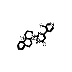 Cn1c(N2CCC[C@@H]3c4ccccc4CC[C@H]32)nc(-c2ccncc2F)cc1=O